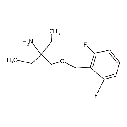 CCC(N)(CC)COCc1c(F)cccc1F